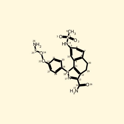 CS(=O)(=O)Nc1ccc2c(c1)-c1c(c(C(N)=O)nn1-c1ccc(OOSN)cc1)CC2